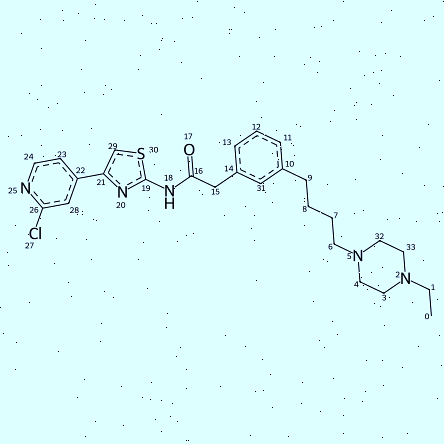 CCN1CCN(CCCCc2cccc(CC(=O)Nc3nc(-c4ccnc(Cl)c4)cs3)c2)CC1